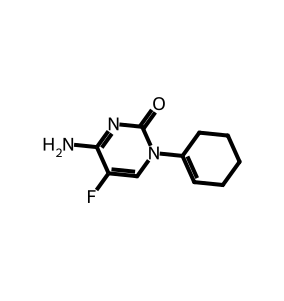 Nc1nc(=O)n(C2=CCCCC2)cc1F